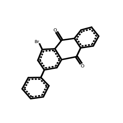 O=C1c2ccccc2C(=O)c2c(Br)cc(-c3ccccc3)cc21